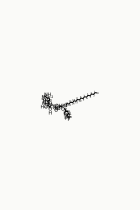 CCCCCCCCCCCCCCCCCCOC[C@H](COP(=O)(O)OC[C@H]1O[C@@](C#N)(c2ccc3c(N)ncnn23)[C@H](O)[C@@H]1O)OCc1cnc(C(F)(F)F)nc1